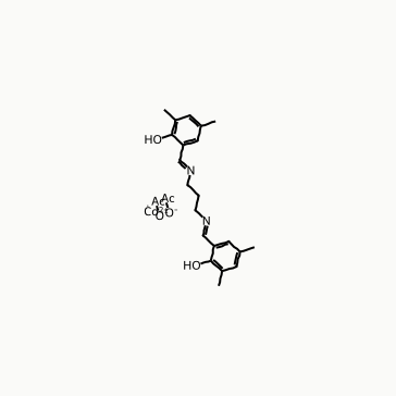 CC(=O)[O-].CC(=O)[O-].Cc1cc(C)c(O)c(C=NCCCN=Cc2cc(C)cc(C)c2O)c1.[Co+2]